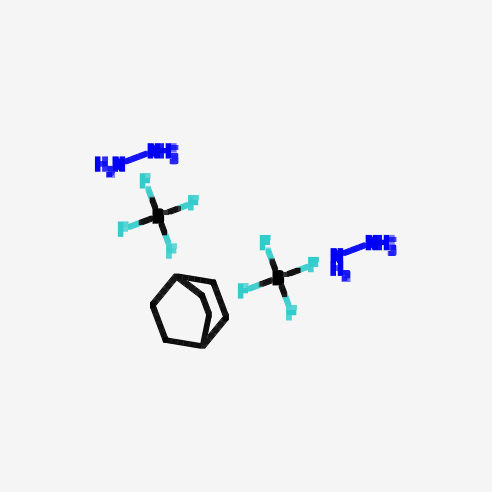 C1CC2CCC1CC2.F[B-](F)(F)F.F[B-](F)(F)F.N[NH3+].N[NH3+]